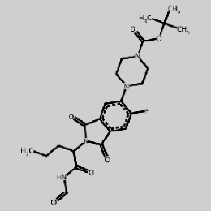 CCCC(C(=O)NC=O)N1C(=O)c2cc(F)c(N3CCN(C(=O)OC(C)(C)C)CC3)cc2C1=O